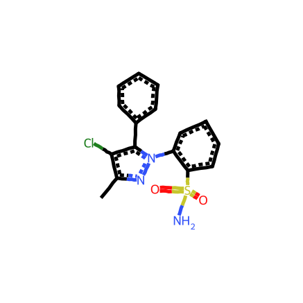 Cc1nn(-c2ccccc2S(N)(=O)=O)c(-c2ccccc2)c1Cl